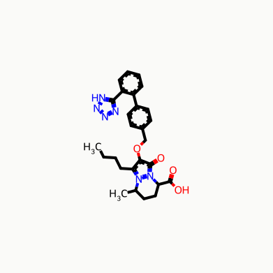 CCCCc1c(OCc2ccc(-c3ccccc3-c3nnn[nH]3)cc2)c(=O)n2n1C(C)CCC2C(=O)O